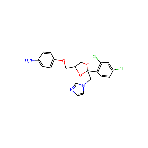 Nc1ccc(OCC2COC(Cn3ccnc3)(c3ccc(Cl)cc3Cl)O2)cc1